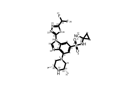 C[C@@H]1CN(c2cc(S(=O)(=O)NC3(C#N)CC3)cc3c2ncn3-c2nnc(C(F)F)s2)C[C@H](C)N1